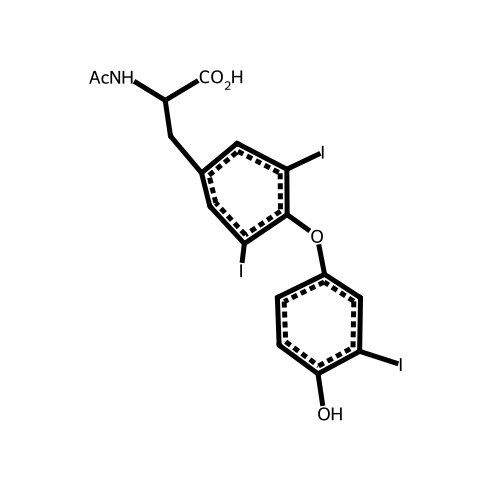 CC(=O)NC(Cc1cc(I)c(Oc2ccc(O)c(I)c2)c(I)c1)C(=O)O